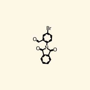 O=Cc1cc(Br)ccc1N1C(=O)c2ccccc2C1=O